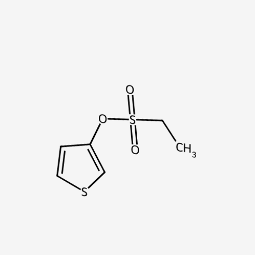 CCS(=O)(=O)Oc1ccsc1